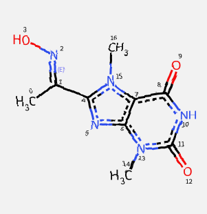 C/C(=N\O)c1nc2c(c(=O)[nH]c(=O)n2C)n1C